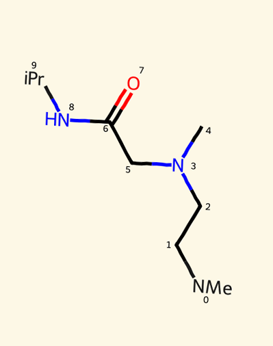 CNCCN(C)CC(=O)NC(C)C